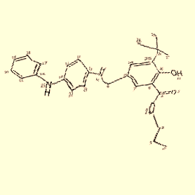 CCCOC(=O)c1cc(CNc2ccc(Nc3ccccc3)cc2)cc(C(C)(C)C)c1O